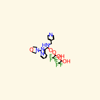 O=C(NCc1ccncc1)c1nc(N2CCOCC2)n2ccccc12.O=C(O)C(F)(F)F.O=C(O)C(F)(F)F